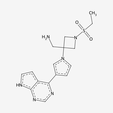 CCS(=O)(=O)N1CC(CN)(n2ccc(-c3ncnc4[nH]ccc34)c2)C1